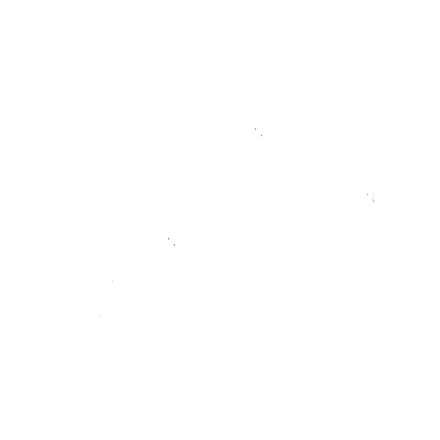 CC(C)c1ncc(C(=O)N2CCOC3(CCN(C(=O)OC(C)(C)C)CC3)C2)s1